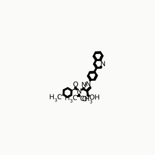 CC(C)N(c1nn(-c2ccc(-c3cnc4ccccc4c3)cc2)cc1C(=O)O)C(=O)[C@H]1CC[C@H](C)CC1